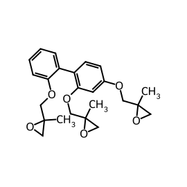 CC1(COc2ccc(-c3ccccc3OCC3(C)CO3)c(OCC3(C)CO3)c2)CO1